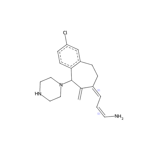 C=C1/C(=C\C=C/N)CCc2cc(Cl)ccc2C1N1CCNCC1